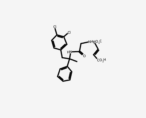 CC(Cc1ccc(Cl)c(Cl)c1)(NC(=O)CN)c1ccccc1.O=C(O)C=CC(=O)O